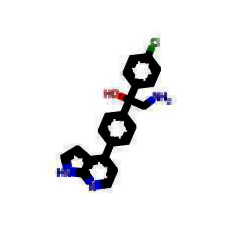 NCC(O)(c1ccc(Cl)cc1)c1ccc(-c2ccnc3[nH]ccc23)cc1